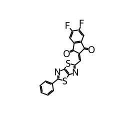 O=C1C(=Cc2nc3sc(-c4ccccc4)nc3s2)C(=O)c2cc(F)c(F)cc21